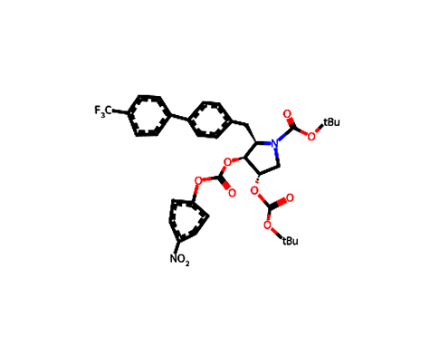 CC(C)(C)OC(=O)O[C@H]1CN(C(=O)OC(C)(C)C)[C@H](Cc2ccc(-c3ccc(C(F)(F)F)cc3)cc2)[C@@H]1OC(=O)Oc1ccc([N+](=O)[O-])cc1